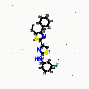 CCc1sc(-c2csc(Nc3cccc(F)c3)n2)nc1-c1ccccc1